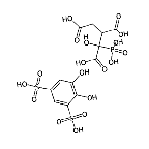 O=C(O)CC(C(=O)O)C(O)(C(=O)O)P(=O)(O)O.O=S(=O)(O)c1cc(O)c(O)c(S(=O)(=O)O)c1